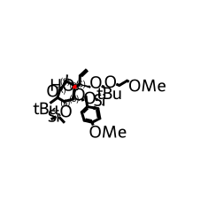 C=C[C@@H](COCOCCOC)[C@@H](O)[C@H](CO[Si](C)(C)C(C)(C)C)[C@H](O[Si](C)(C)C(C)(C)C)C1(C)O[C@@H]1[C@@H](C)COCc1ccc(OC)cc1